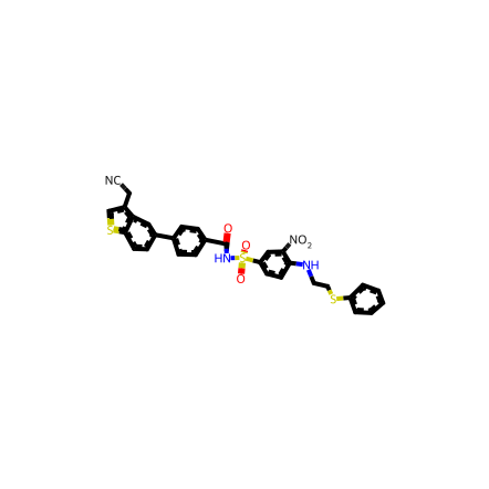 N#CCc1csc2ccc(-c3ccc(C(=O)NS(=O)(=O)c4ccc(NCCSc5ccccc5)c([N+](=O)[O-])c4)cc3)cc12